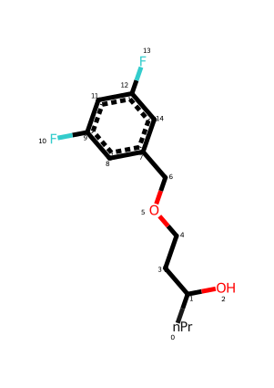 CCCC(O)[CH]COCc1cc(F)cc(F)c1